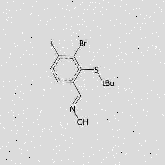 CC(C)(C)Sc1c(C=NO)ccc(I)c1Br